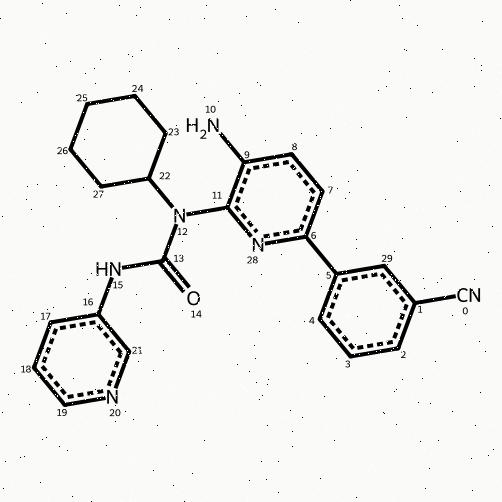 N#Cc1cccc(-c2ccc(N)c(N(C(=O)Nc3cccnc3)C3CCCCC3)n2)c1